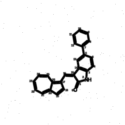 O=C1Nc2ccc(-c3ccccc3)cc2C1=Cc1ccc2cccccc1-2